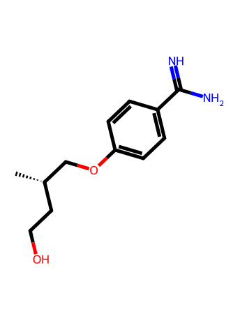 C[C@@H](CCO)COc1ccc(C(=N)N)cc1